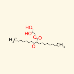 CCCCCCCCC(C(=O)CCCCCCC)C(=O)OCC(O)CO